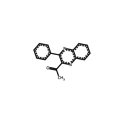 CC(=O)c1nc2ccccc2nc1-c1ccccc1